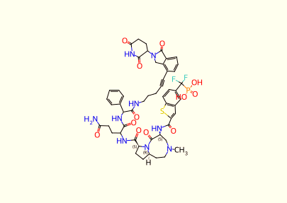 CN1CC[C@H]2CC[C@@H](C(=O)NC(CCC(N)=O)C(=O)NC(C(=O)NCCCC#Cc3cccc4c3CN(C3CCC(=O)NC3=O)C4=O)c3ccccc3)N2C(=O)[C@@H](NC(=O)c2cc3cc(C(F)(F)P(=O)(O)O)ccc3s2)C1